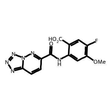 COc1cc(NC(=O)c2ccc3nnnn3n2)c(C(=O)O)cc1F